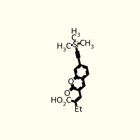 CCC(=Cc1cc2ccc(C#C[Si](C)(C)C)cc2oc1=O)C(=O)O